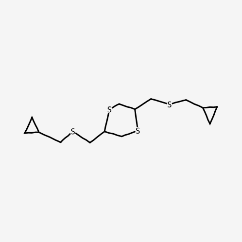 C1CC1CSCC1CSC(CSCC2CC2)CS1